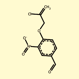 C=C(Cl)COc1ccc(C=O)cc1[N+](=O)[O-]